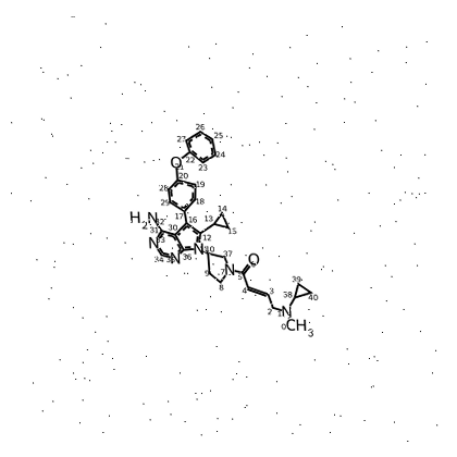 CN(CC=CC(=O)N1CCC(n2c(C3CC3)c(-c3ccc(Oc4ccccc4)cc3)c3c(N)ncnc32)C1)C1CC1